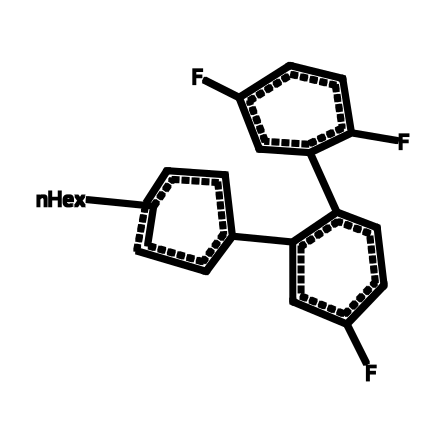 CCCCCCc1ccc(-c2cc(F)ccc2-c2cc(F)ccc2F)cc1